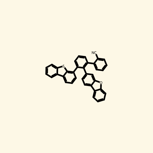 N#Cc1ccccc1-c1cccc(-c2cccc3c2sc2ccccc23)c1-c1ccc2c(c1)oc1ccccc12